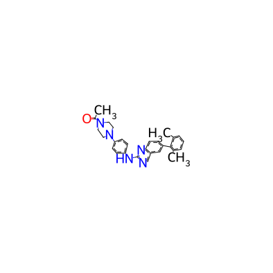 CC(=O)N1CCN(c2ccc(Nc3ncc4cc(-c5c(C)cccc5C)ccc4n3)cc2)CC1